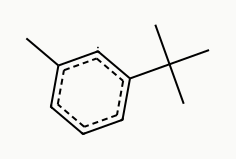 Cc1[c]c(C(C)(C)C)ccc1